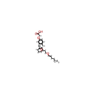 CCCC=COCCC1C2CC[C@@H](O2)[C@@H]1Cc1ccc(OCC(=O)O)cc1